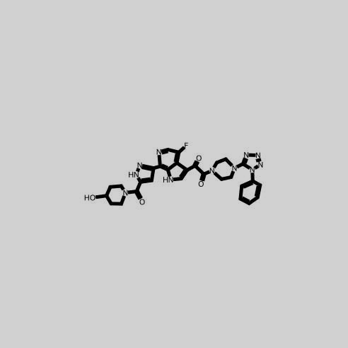 O=C(C(=O)N1CCN(c2nnnn2-c2ccccc2)CC1)c1c[nH]c2c(-c3cc(C(=O)N4CCC(O)CC4)[nH]n3)ncc(F)c12